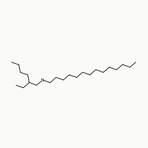 CCCCCCCCCCCCCC[N]CC(CC)CCCC